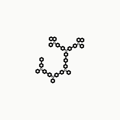 c1ccc(-c2ccc(N(c3ccccc3)c3ccc(-c4ccc(N(c5ccccc5)c5ccc(-c6ccc(N(c7ccccc7)c7ccc(-c8ccc(-c9ccc(N(c%10ccc(-c%11ccc(N(c%12ccccc%12)c%12cccc%13ccccc%12%13)cc%11)cc%10)c%10ccc(-c%11ccc(N(c%12ccccc%12)c%12cccc%13ccccc%12%13)cc%11)cc%10)cc9)cc8)cc7)cc6)cc5)cc4)cc3)cc2)cc1